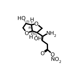 NC(CCC(=O)O[N+](=O)[O-])[C@]1(O)CO[C@@H]2[C@@H](O)CO[C@@H]21